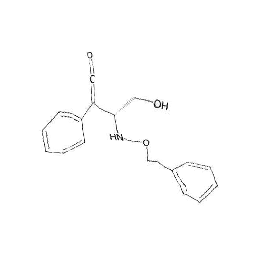 O=C=C(c1ccccc1)[C@H](CO)NOCc1ccccc1